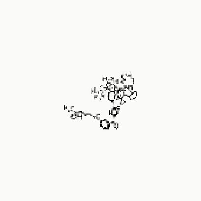 CC(O)CCCCOc1cccc(C(=O)c2csc([C@@H]3CCCN3C(=O)[C@@H](NC(=O)[C@H](C)N(C)C(=O)OC(C)(C)C)C3CCCCC3)n2)c1